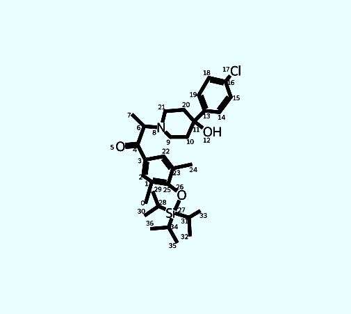 Cc1cc(C(=O)C(C)N2CCC(O)(c3ccc(Cl)cc3)CC2)cc(C)c1O[Si](C(C)C)(C(C)C)C(C)C